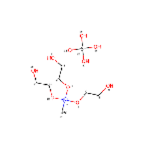 CC(C)[N+](OCCO)(OCCO)OCCO.[O-][Si](O)(O)O